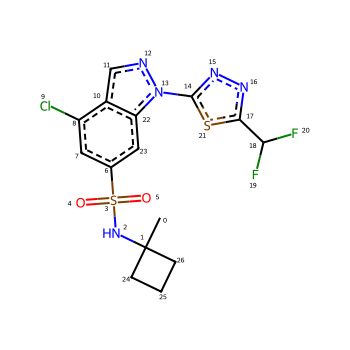 CC1(NS(=O)(=O)c2cc(Cl)c3cnn(-c4nnc(C(F)F)s4)c3c2)CCC1